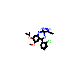 COc1cc2c(cc1OC(C)C)N=C1NNC(C)=C1N=C2c1ccccc1Cl